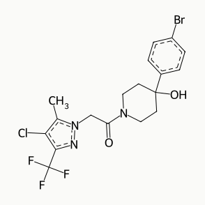 Cc1c(Cl)c(C(F)(F)F)nn1CC(=O)N1CCC(O)(c2ccc(Br)cc2)CC1